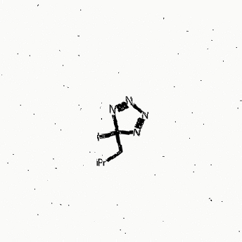 CC(C)CC1(I)N=NN=N1